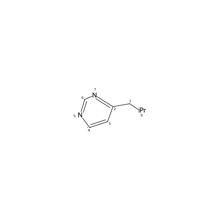 CC(C)Cc1c[c]ncn1